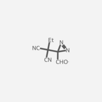 CCC(C#N)(C#N)C1([C]=O)N=N1